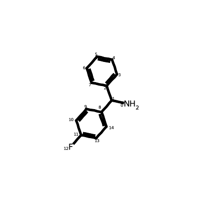 NC(c1cc[c]cc1)c1ccc(F)cc1